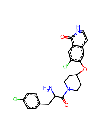 NC(Cc1ccc(Cl)cc1)C(=O)N1CCC(Oc2cc3cc[nH]c(=O)c3cc2Cl)CC1